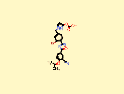 CC(C)Oc1ccc(-c2nc(-c3ccc(Cn4ccc(OC(=O)O)n4)cc3Br)no2)cc1C#N